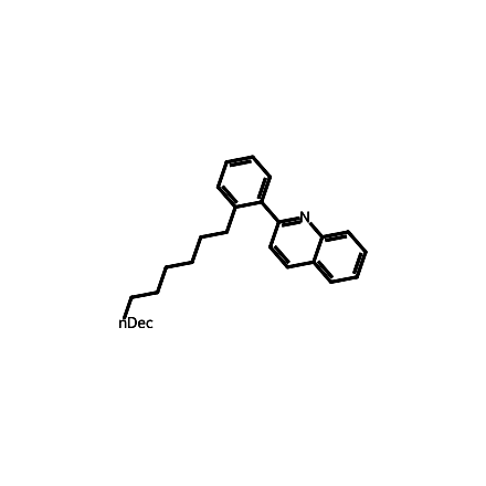 CCCCCCCCCCCCCCCCc1ccccc1-c1ccc2ccccc2n1